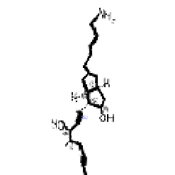 CC#CC[C@H](C)[C@@H](O)/C=C/[C@@H]1[C@H]2CC(=CCCCCN)C[C@H]2C[C@H]1O